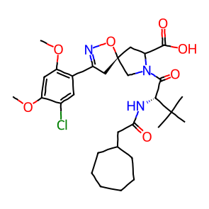 COc1cc(OC)c(C2=NO[C@]3(C2)CC(C(=O)O)N(C(=O)[C@@H](NC(=O)CC2CCCCCC2)C(C)(C)C)C3)cc1Cl